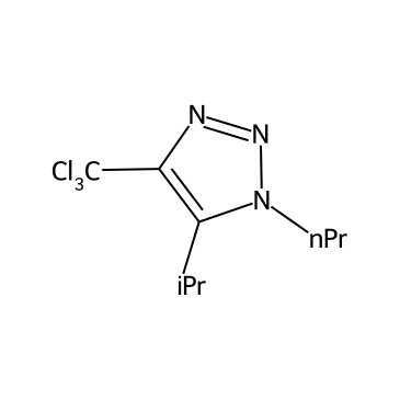 CCCn1nnc(C(Cl)(Cl)Cl)c1C(C)C